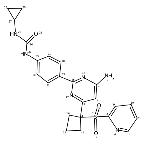 Nc1cc(C2(S(=O)(=O)c3ccccn3)CCC2)nc(-c2ccc(NC(=O)NC3CC3)cc2)n1